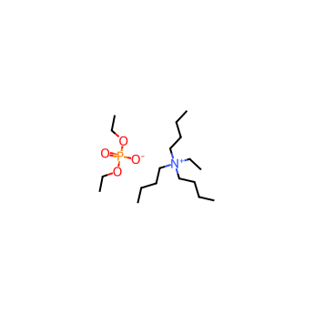 CCCC[N+](CC)(CCCC)CCCC.CCOP(=O)([O-])OCC